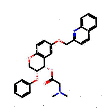 CN(C)CC(=O)O[C@H]1c2cc(OCc3ccc4ccccc4n3)ccc2OC[C@H]1Oc1ccccc1